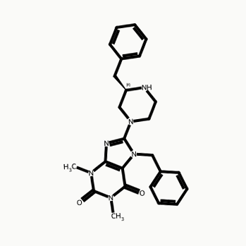 Cn1c(=O)c2c(nc(N3CCN[C@H](Cc4ccccc4)C3)n2Cc2ccccc2)n(C)c1=O